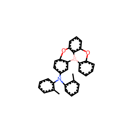 Cc1ccccc1N(c1ccc2c(c1)B1c3ccccc3Oc3cccc(c31)O2)c1ccccc1C